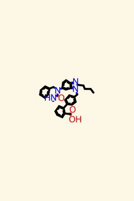 CCCCc1nc2ccc(N(Cc3ccccc3)C(=O)NC)cc2n1Cc1ccc(-c2ccccc2C(=O)O)cc1